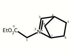 CCOC(=O)C[N+]1=CC2CCC1C2